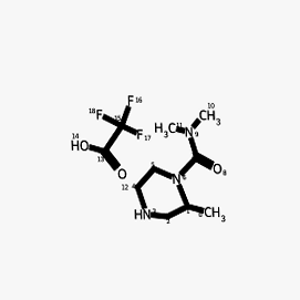 CC1CNCCN1C(=O)N(C)C.O=C(O)C(F)(F)F